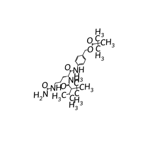 CC(C)C(C(=O)N[C@@H](CCCNC(N)=O)C(=O)Nc1ccc(COC(=O)C(C)(C)C)cc1)C(C)(C)C